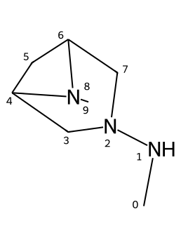 CNN1CC2CC(C1)N2C